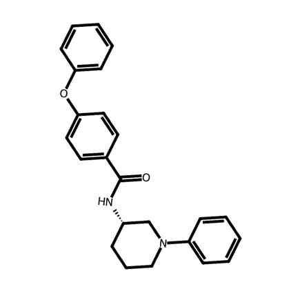 O=C(N[C@H]1CCCN(c2ccccc2)C1)c1ccc(Oc2ccccc2)cc1